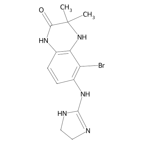 CC1(C)Nc2c(ccc(NC3=NCCN3)c2Br)NC1=O